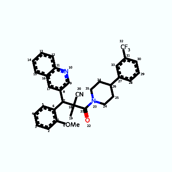 COc1ccccc1C(c1cnc2ccccc2c1)C(C)(C#N)C(=O)N1CCC(c2cccc(C(F)(F)F)c2)CC1